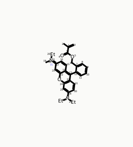 C=C(C)C(=O)OCc1ccccc1-c1c2cc/c(=[N+](/C)CC)cc-2oc2cc(N(CC)CC)ccc12